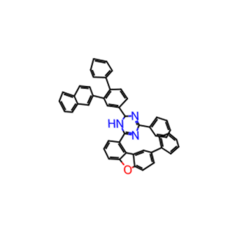 c1ccc(C2=NC(c3ccc(-c4ccccc4)c(-c4ccc5ccccc5c4)c3)NC(c3cccc4oc5ccc(-c6ccccc6)cc5c34)=N2)cc1